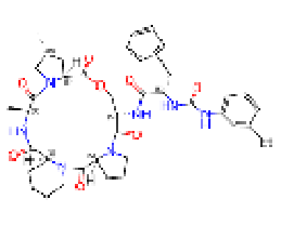 CCc1cccc(NC(=O)N[C@@H](Cc2ccccc2)C(=O)N[C@H]2COC(=O)[C@@H]3C[C@@H](C)CN3C(=O)[C@H](C)NC(=O)[C@@H]3CCCCN3C(=O)[C@@H]3CCCN3C2=O)c1